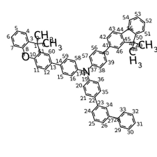 CC1(C)c2ccccc2Oc2ccc(-c3ccc(N(c4ccc(-c5cccc(-c6ccccc6)c5)cc4)c4ccc(-c5ccc6c(c5)C(C)(C)c5ccccc5-6)cc4)cc3)cc21